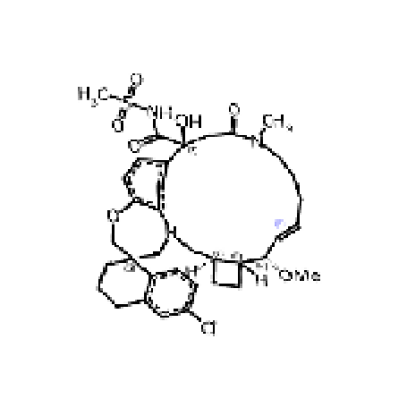 CO[C@H]1/C=C/CCCN(C)C(=O)C[C@@](O)(C(=O)NS(C)(=O)=O)c2ccc3c(c2)N(C[C@@H]2CC[C@H]21)C[C@@]1(CCCc2cc(Cl)ccc21)CO3